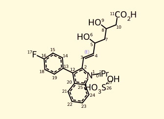 CC(C)n1c(/C=C/C(O)CC(O)CC(=O)O)c(-c2ccc(F)cc2)c2ccccc21.O=S(=O)(O)O